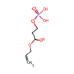 C=CCOC(O)CCOP(=O)(O)O